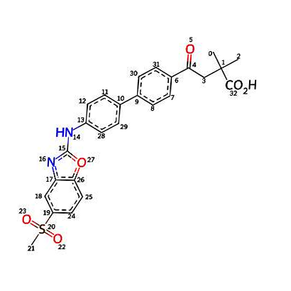 CC(C)(CC(=O)c1ccc(-c2ccc(Nc3nc4cc(S(C)(=O)=O)ccc4o3)cc2)cc1)C(=O)O